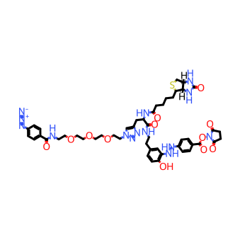 [N-]=[N+]=Nc1ccc(C(=O)NCCOCCOCCOCCn2cc(CC(NC(=O)CCCCC3SC[C@@H]4NC(=O)N[C@H]34)C(=O)NCCc3ccc(O)c(NNc4ccc(C(=O)ON5C(=O)CCC5=O)cc4)c3)nn2)cc1